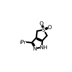 CC(C)c1n[nH]c2c1CS(=O)(=O)C2